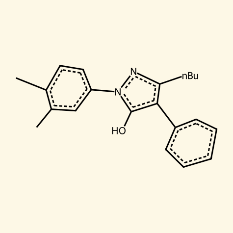 CCCCc1nn(-c2ccc(C)c(C)c2)c(O)c1-c1ccccc1